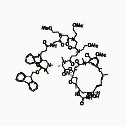 COCCN(CCC(=O)N(C)[C@@H](C)C(=O)O[C@H]1CC(=O)N(C)c2cc(cc(OC)c2Cl)C/C(C)=C/C=C/[C@@H](O)[C@@]2(O)C[C@H](OC(=O)N2)C2(C)C[C@@]1(C)O2)C(=O)CN(CCOC)C(=O)CN(CCOC)C(=O)CNC(=O)CCn1c(CN(C)N(C)C(=O)OCC2c3ccccc3-c3ccccc32)cc2ccccc21